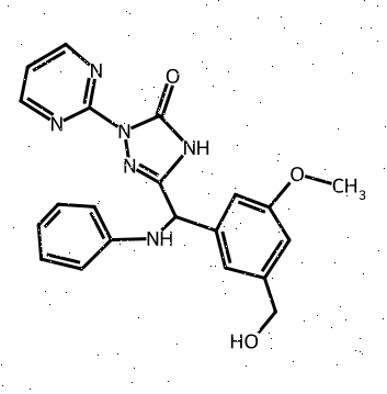 COc1cc(CO)cc(C(Nc2ccccc2)c2nn(-c3ncccn3)c(=O)[nH]2)c1